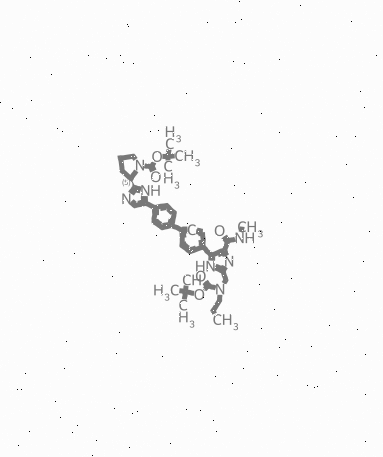 CCCN(Cc1nc(C(=O)NC)c(-c2ccc(-c3ccc(-c4cnc([C@@H]5CCCN5C(=O)OC(C)(C)C)[nH]4)cc3)cc2)[nH]1)C(=O)OC(C)(C)C